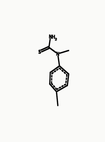 Cc1ccc(N(C)C(N)=S)cc1